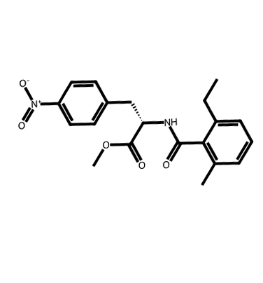 CCc1cccc(C)c1C(=O)N[C@@H](Cc1ccc([N+](=O)[O-])cc1)C(=O)OC